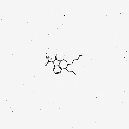 CCCCCCC(CCC)c1cccc2c1n(C(C)C)c(=O)n2C(N)=O